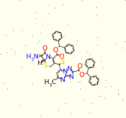 Cc1cc(C(=S)C2=C(C(=O)OC(c3ccccc3)c3ccccc3)N3C(=O)[C@@H](N)[C@H]3SC2)n2nc(C(=O)OC(c3ccccc3)c3ccccc3)nc2n1